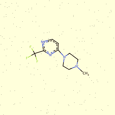 CN1CCN(c2ccnc(C(F)(F)F)n2)CC1